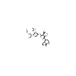 COC[C@H]1CN(c2ccc(Nc3cnc(-c4ccnc5c4ccn5C)c4c3C(=O)NC4)nc2CN(C)C)CCO1